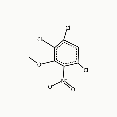 COc1c(Cl)c(Cl)cc(Cl)c1[N+](=O)[O-]